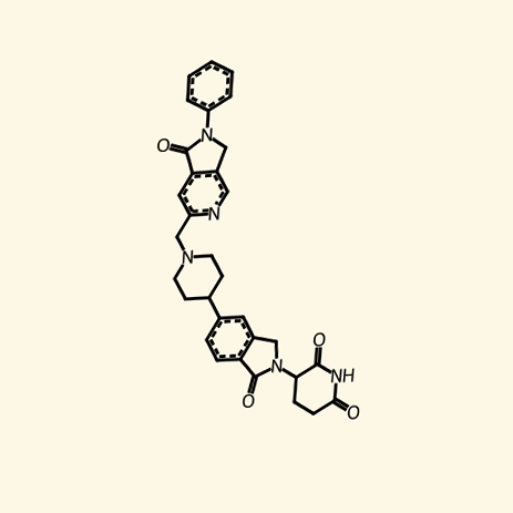 O=C1CCC(N2Cc3cc(C4CCN(Cc5cc6c(cn5)CN(c5ccccc5)C6=O)CC4)ccc3C2=O)C(=O)N1